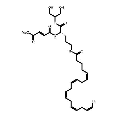 CC/C=C\C/C=C\C/C=C\C/C=C\C/C=C\CCCC(=O)NCCC[C@H](NC(=O)/C=C/C(=O)OC)C(=O)OC(CO)CO